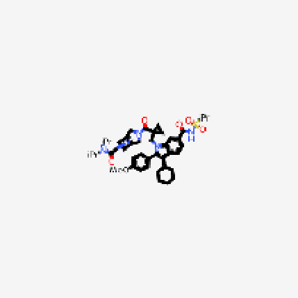 COc1ccc(-c2c(C3CCCCC3)c3ccc(C(=O)NS(=O)(=O)C(C)C)cc3n2CC2(C(=O)N3CC45CCC4(CN(C(=O)N(C(C)C)C(C)C)C5)C3)CC2)cc1